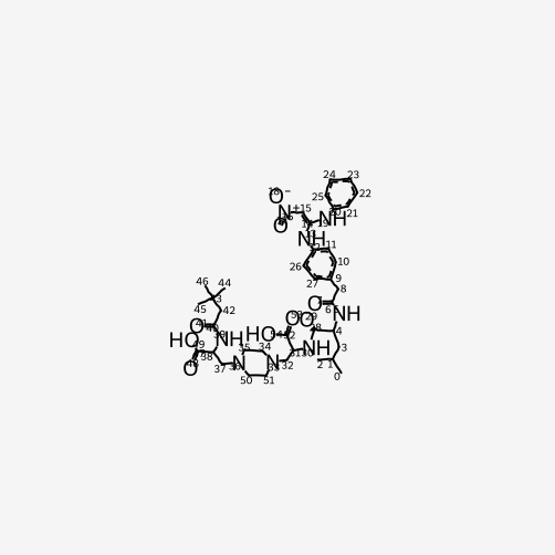 CC(C)CC(NC(=O)Cc1ccc(NC(=C[N+](=O)[O-])Nc2ccccc2)cc1)C(=O)NC(CN1CCN(CC(NC(=O)CC(C)(C)C)C(=O)O)CC1)C(=O)O